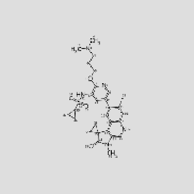 CN(C)CCCOc1ncc(-c2cc3c4c(cnc3cc2F)N(C)C(=O)C42CC2)cc1NS(=O)(=O)C1CC1